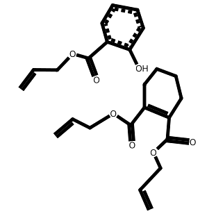 C=CCOC(=O)C1=C(C(=O)OCC=C)CCCC1.C=CCOC(=O)c1ccccc1O